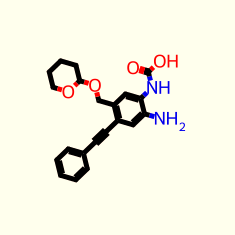 Nc1cc(C#Cc2ccccc2)c(COC2CCCCO2)cc1NC(=O)O